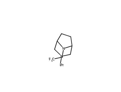 CC(C)N1CC2CCC(C1)N2CC(F)(F)F